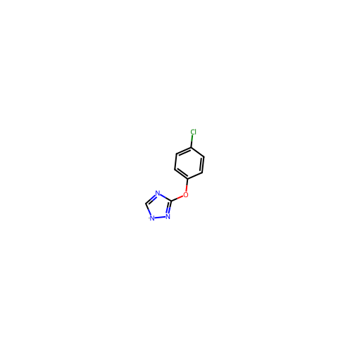 Clc1ccc(OC2=N[N]C=N2)cc1